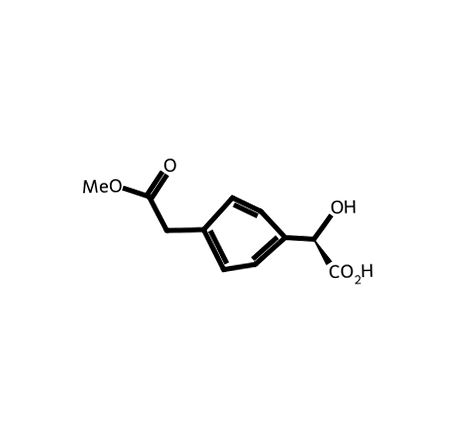 COC(=O)Cc1ccc([C@@H](O)C(=O)O)cc1